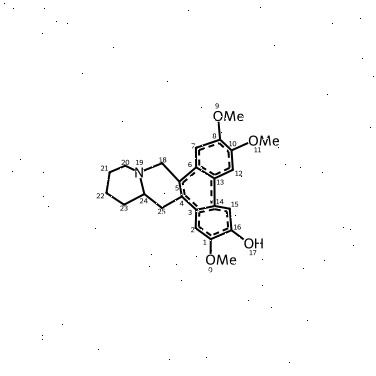 COc1cc2c3c(c4cc(OC)c(OC)cc4c2cc1O)CN1CCCCC1C3